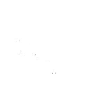 O=C([O-])C1CCCCC1.O=C([O-])C1CCCCC1.[Hg+2]